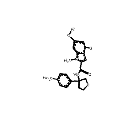 CCOc1cc(Cl)c2cc(C(=O)NC3(c4ccc(C(=O)O)cc4)CCOC3)n(C)c2c1